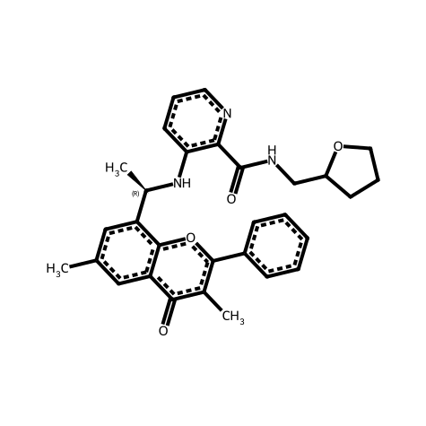 Cc1cc([C@@H](C)Nc2cccnc2C(=O)NCC2CCCO2)c2oc(-c3ccccc3)c(C)c(=O)c2c1